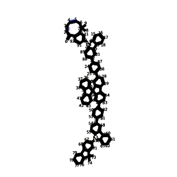 C=C1/C=C\C=C/CC(C)(C)c2cc(-n3c4ccccc4c4cc(-c5ccc(-c6ccc7c(c6)C6(c8ccccc8-c8ccccc86)c6cc(-c8ccc(-c9ccc%10c(c9)c9ccccc9n%10-c9ccc%10c(c9)C(C)(C)c9ccccc9-%10)cc8)ccc6-7)cc5)ccc43)ccc21